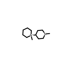 CN1CCC([N+]2(C)CCCCC2)CC1